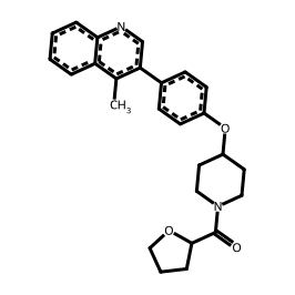 Cc1c(-c2ccc(OC3CCN(C(=O)C4CCCO4)CC3)cc2)cnc2ccccc12